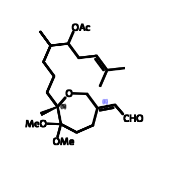 COC1(OC)CC/C(=C\C=O)CO[C@@]1(C)CCCC(C)C(CC=C(C)C)OC(C)=O